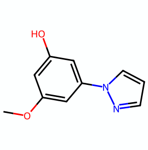 COc1cc(O)cc(-n2cccn2)c1